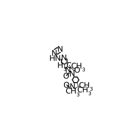 CC(=O)N1CC(C)(C)c2ccc(N3C(=O)N(Cc4ccnc(Nc5cnccn5)c4)C(C)(C)C3=O)cc21